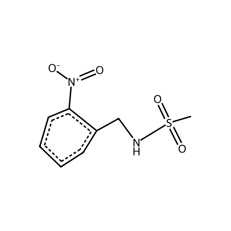 CS(=O)(=O)NCc1ccccc1[N+](=O)[O-]